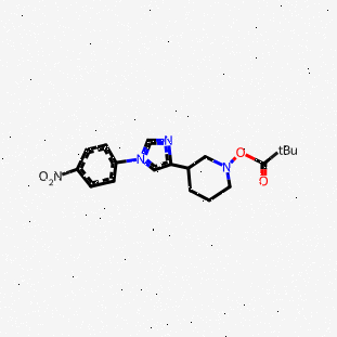 CC(C)(C)C(=O)ON1CCCC(c2cn(-c3ccc([N+](=O)[O-])cc3)cn2)C1